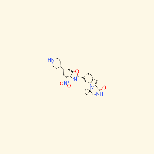 O=C1NCC2(CCC2)n2c1cc1ccc(-c3nc4c([N+](=O)[O-])cc(C5=CCNCC5)cc4o3)cc12